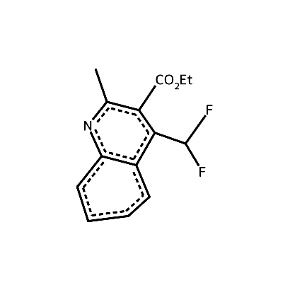 CCOC(=O)c1c(C)nc2ccccc2c1C(F)F